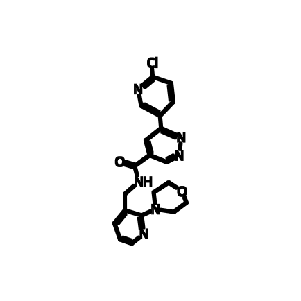 O=C(NCc1cccnc1N1CCOCC1)c1cnnc(-c2ccc(Cl)nc2)c1